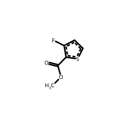 COC(=O)c1sccc1F